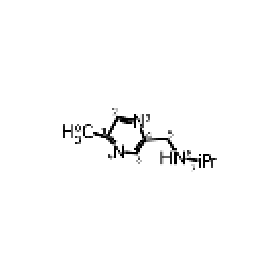 Cc1cnc(CNC(C)C)cn1